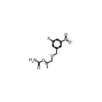 C[C@H](COCc1cc(F)cc([N+](=O)[O-])c1)OC(N)=O